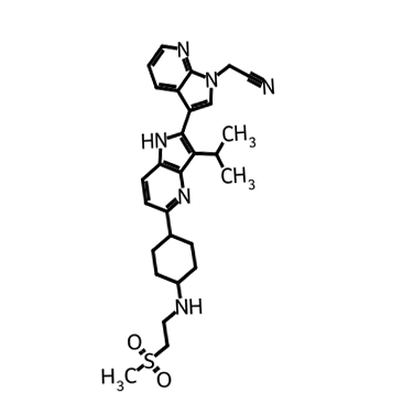 CC(C)c1c(-c2cn(CC#N)c3ncccc23)[nH]c2ccc(C3CCC(NCCS(C)(=O)=O)CC3)nc12